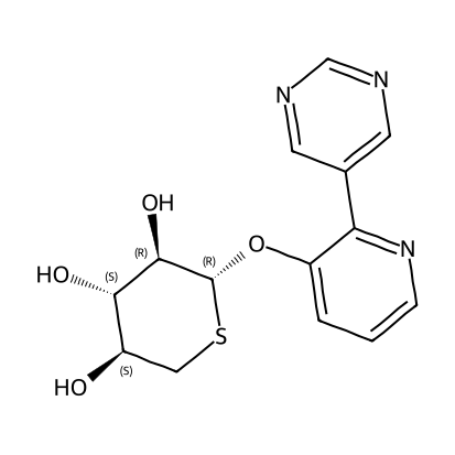 O[C@@H]1[C@@H](O)[C@H](Oc2cccnc2-c2cncnc2)SC[C@H]1O